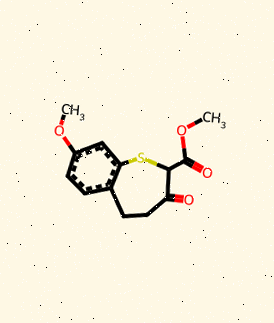 COC(=O)C1Sc2cc(OC)ccc2CCC1=O